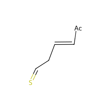 CC(=O)C=CCC=S